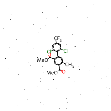 COC(=O)c1cc(C(=O)OC)c(-c2c(Cl)cc(C(F)(F)F)cc2Cl)cc1C